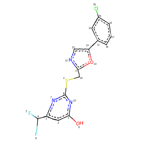 Oc1cc(C(F)F)nc(SCc2ncc(-c3cccc(Cl)c3)o2)n1